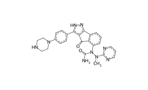 CN(c1ncccn1)N(C(N)=O)c1cccc2c1C(=O)c1c-2n[nH]c1-c1ccc(N2CCNCC2)cc1